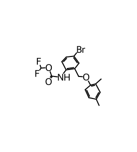 Cc1ccc(OCc2cc(Br)ccc2NC(=O)OC(F)F)c(C)c1